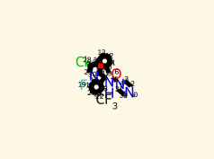 CN1CCN(C(=O)N[C@@](Cc2ccccc2)(c2cc(F)cc(C(F)(F)F)c2)c2ccc(Cl)cn2)CC1